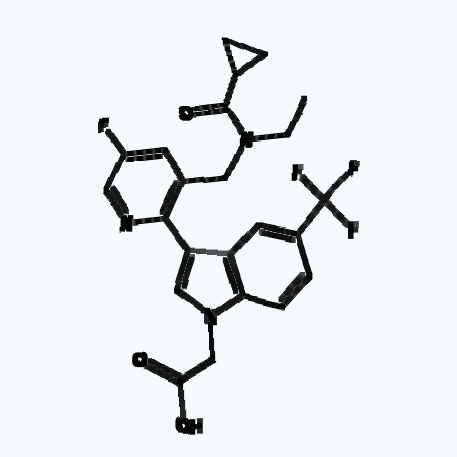 CCN(Cc1cc(F)cnc1-c1cn(CC(=O)O)c2ccc(C(F)(F)F)cc12)C(=O)C1CC1